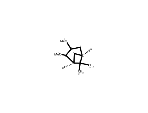 COC1C[C@@H]2C[C@H](C1OC)C2(C)C